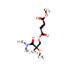 COC(=O)/C=C/C(=O)OCC(C)(OC)C(=O)N(C)C